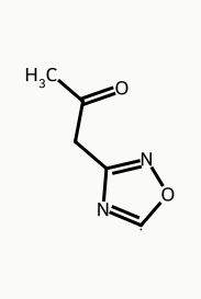 CC(=O)Cc1n[c]on1